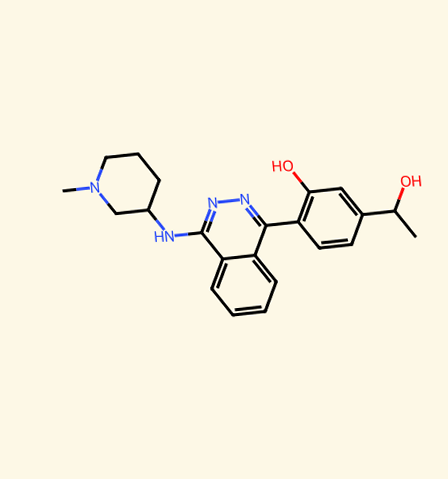 CC(O)c1ccc(-c2nnc(NC3CCCN(C)C3)c3ccccc23)c(O)c1